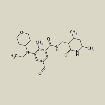 CCN(c1cc(C=O)cc(C(=O)NCC2C(=O)NC(C)CC2C)c1C)C1CCOCC1